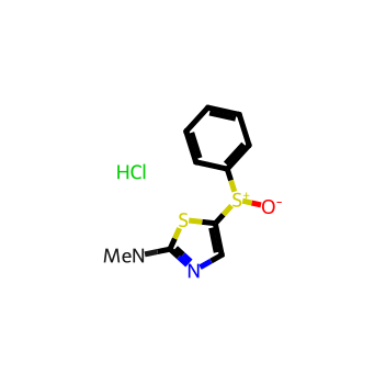 CNc1ncc([S+]([O-])c2ccccc2)s1.Cl